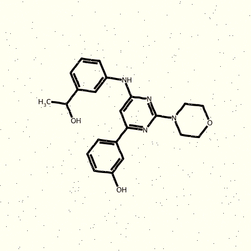 CC(O)c1cccc(Nc2cc(-c3cccc(O)c3)nc(N3CCOCC3)n2)c1